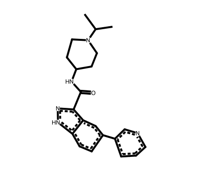 CC(C)N1CCC(NC(=O)c2n[nH]c3ccc(-c4cccnc4)cc23)CC1